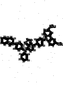 CC(C)(C)c1ccc2c(c1)c1cc(C(C)(C)C)ccc1n2-c1ccc(-c2ccc(N(c3ccccc3)c3ccc(-c4ccc5ccccc5c4)cc3)c3nsnc23)cc1